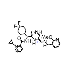 COc1ncccc1CN/C=C(\C=N)NC(=O)C(NC(=O)c1ccnn1C1CC1)C1CCC(F)(F)CC1